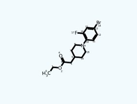 CCOC(=O)CC1CCN(c2ccc(Br)cc2F)CC1